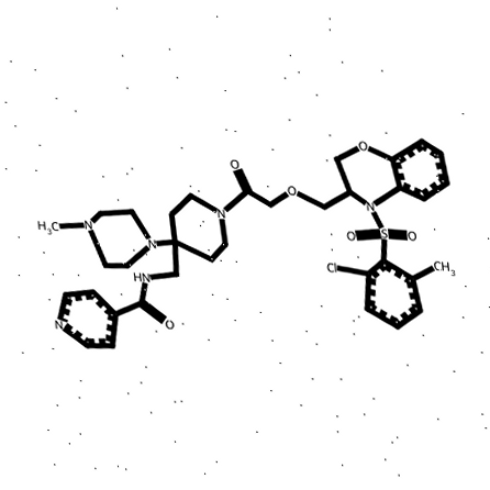 Cc1cccc(Cl)c1S(=O)(=O)N1c2ccccc2OCC1COCC(=O)N1CCC(CNC(=O)c2ccncc2)(N2CCN(C)CC2)CC1